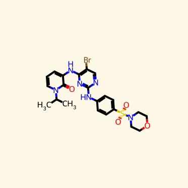 CC(C)n1cccc(Nc2nc(Nc3ccc(S(=O)(=O)N4CCOCC4)cc3)ncc2Br)c1=O